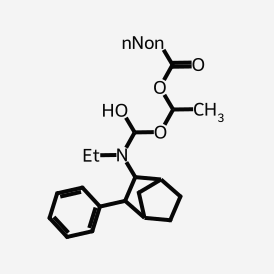 CCCCCCCCCC(=O)OC(C)OC(O)N(CC)C1C2CCC(C2)C1c1ccccc1